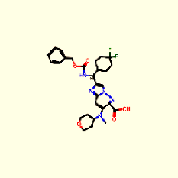 CN(c1cc2nc([C@@H](NC(=O)OCc3ccccc3)C3CCC(F)(F)CC3)cn2nc1C(=O)O)C1CCOCC1